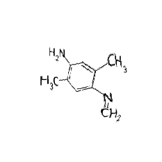 C=Nc1cc(C)c(N)cc1C